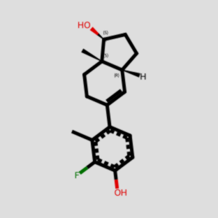 Cc1c(C2=C[C@H]3CC[C@H](O)[C@@]3(C)CC2)ccc(O)c1F